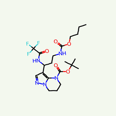 CCCCOC(=O)NCCC(NC(=O)C(F)(F)F)c1cnn2c1N(C(=O)OC(C)(C)C)CCC2